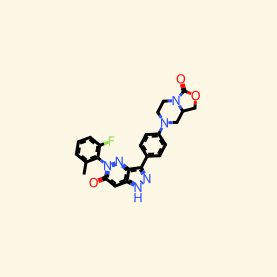 Cc1cccc(F)c1-n1nc2c(-c3ccc(N4CCN5C(=O)OCC5C4)cc3)n[nH]c2cc1=O